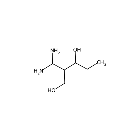 CCC(O)C(CO)C(N)N